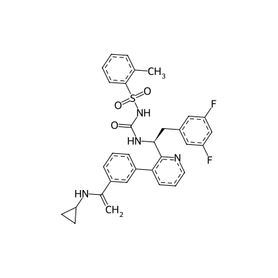 C=C(NC1CC1)c1cccc(-c2cccnc2[C@H](Cc2cc(F)cc(F)c2)NC(=O)NS(=O)(=O)c2ccccc2C)c1